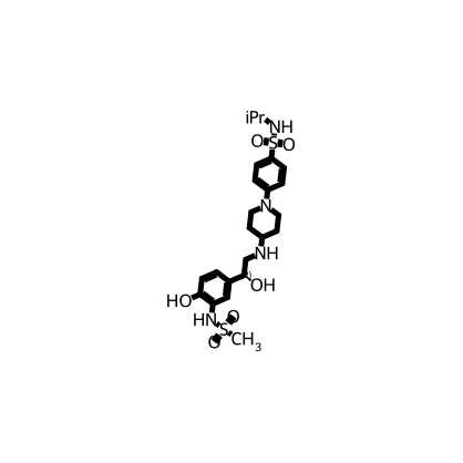 CC(C)NS(=O)(=O)c1ccc(N2CCC(NC[C@H](O)c3ccc(O)c(NS(C)(=O)=O)c3)CC2)cc1